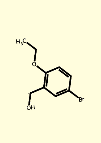 CCOc1ccc(Br)cc1[CH]O